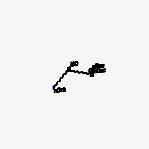 CCCCCCCC/C=C\CCCCCCCCN(CCCCCCCCCC(=O)ON(CCCCCCCCCC)CCCCCCCCCC)CCN=O